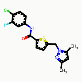 Cc1cc(C)n(Cc2ccc(C(=O)Nc3ccc(Cl)c(F)c3)s2)n1